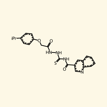 CC(C)c1ccc(OCC(=O)NNC(=S)NC(=O)c2cnc3ccccc3c2)cc1